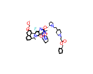 CCc1cccc2cc(OCOC)cc(-c3ncc4c(N5CC6CCC(C5)N6C(=O)OC(C)(C)C)nc(OC[C@@H]5CCCN5CCC5CCN(CCC(=O)OCc6ccccc6)CC5)nc4c3F)c12